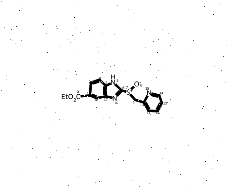 CCOC(=O)c1ccc2[nH]c([S+]([O-])Cc3ccccn3)nc2c1